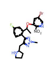 CC(Oc1cc(Br)cnc1[N+](=O)[O-])c1cc(F)ccc1-c1nn(C)nc1CC1CCCN1